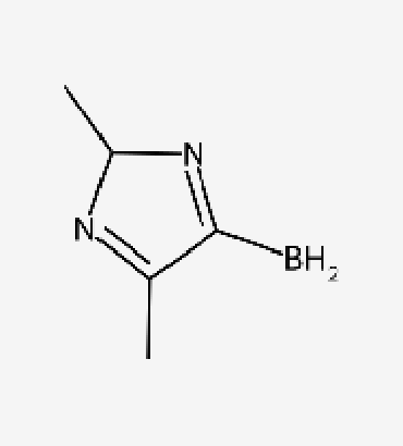 BC1=NC(C)N=C1C